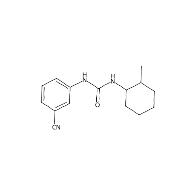 CC1CCCCC1NC(=O)Nc1cccc(C#N)c1